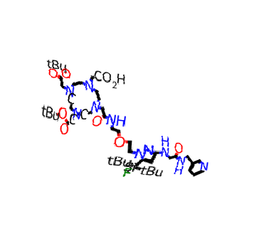 CC(C)(C)OC(=O)CN1CCN(CC(=O)O)CCN(CC(=O)NCCOCCn2nc(NCC(=O)NCc3cccnc3)cc2[Si](F)(C(C)(C)C)C(C)(C)C)CCN(CC(=O)OC(C)(C)C)CC1